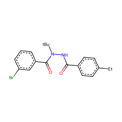 CCc1ccc(C(=O)NN(C(=O)c2cccc(Br)c2)C(C)(C)C)cc1